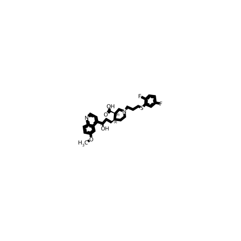 COc1ccc2nccc([C@H](O)CC[C@@H]3CCN(CCCSc4cc(F)ccc4F)C[C@@H]3C(=O)O)c2c1